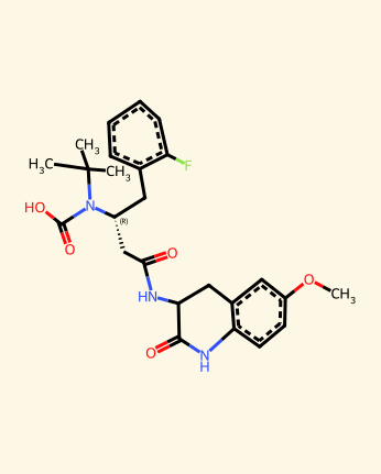 COc1ccc2c(c1)CC(NC(=O)C[C@@H](Cc1ccccc1F)N(C(=O)O)C(C)(C)C)C(=O)N2